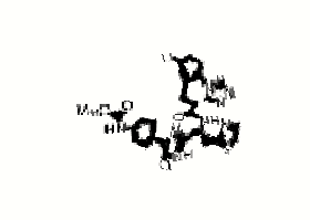 COC(=O)Nc1ccc(-c2nc(C(Cc3nccs3)NC(=O)/C=C/c3cc(Cl)ccc3-n3cnnn3)[nH]c2Cl)cc1